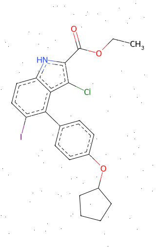 CCOC(=O)c1[nH]c2ccc(I)c(-c3ccc(OC4CCCC4)cc3)c2c1Cl